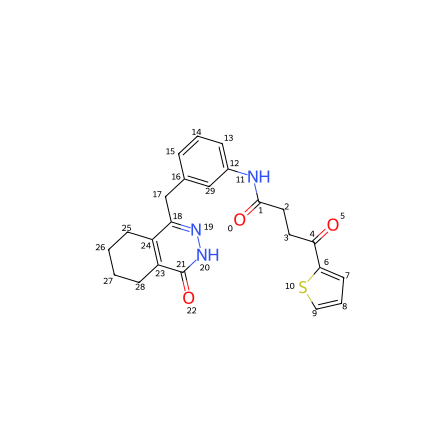 O=C(CCC(=O)c1cccs1)Nc1cccc(Cc2n[nH]c(=O)c3c2CCCC3)c1